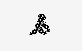 Cc1cc2c(c(C)c1N1c3cccc4c3B(c3cc(C(C)(C)C)ccc3N4c3ccc(C(C)(C)C)cc3)c3c1oc1ccc(C(C)(C)C)cc31)OCCCO2